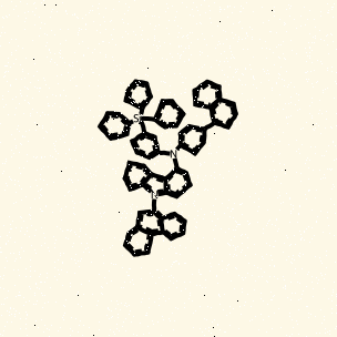 c1ccc([Si](c2ccccc2)(c2ccccc2)c2cccc(N(c3ccc(-c4cccc5ccccc45)cc3)c3cccc4c3c3ccccc3n4-c3cc4ccccc4c4ccccc34)c2)cc1